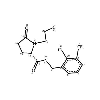 O=C(NCc1cccc(C(F)(F)F)c1Cl)[C@@H]1CCC(=O)N1CCCl